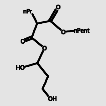 CCCCCOC(=O)C(CCC)C(=O)OC(O)CCO